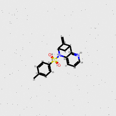 C=C1C2CC1N(S(=O)(=O)c1ccc(C)cc1)c1cccnc12